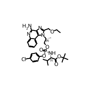 CCOCc1nc2c(N)nc3ccccc3c2n1[C@H](C)CO[P@@](=O)(N[C@H](C(=O)OC(C)(C)C)C(C)C)Oc1ccc(Cl)cc1